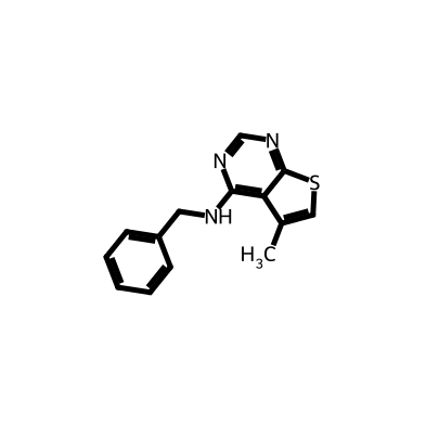 Cc1csc2ncnc(NCc3ccccc3)c12